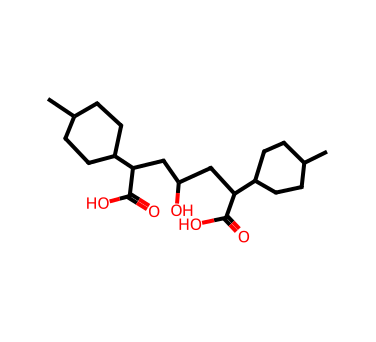 CC1CCC(C(CC(O)CC(C(=O)O)C2CCC(C)CC2)C(=O)O)CC1